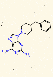 Nc1nc(N)c2ncn(N3CCC(Cc4ccccc4)CC3)c2n1